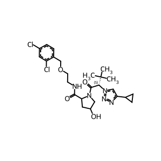 CC(C)(C)[C@@H](C(=O)N1CC(O)CC1C(=O)NCCOCc1ccc(Cl)cc1Cl)n1cc(C2CC2)nn1